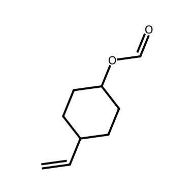 C=CC1CCC(OC=O)CC1